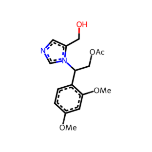 COc1ccc(C(COC(C)=O)n2cncc2CO)c(OC)c1